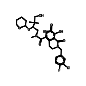 CN(C[C@@H](OC1CCCCO1)C(C)(C)CO)C(=O)c1[nH]c(=O)c(O)c2c1CCN(Cc1ccc(F)c(Cl)c1)C2=O